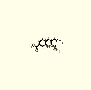 CCc1cc2ccc(C(C)=O)cc2nc1OC